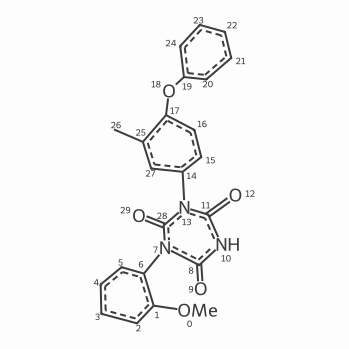 COc1ccccc1-n1c(=O)[nH]c(=O)n(-c2ccc(Oc3ccccc3)c(C)c2)c1=O